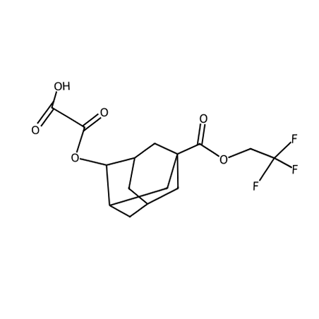 O=C(O)C(=O)OC1C2CC3CC1CC(C(=O)OCC(F)(F)F)(C3)C2